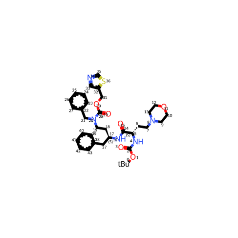 CC(C)(C)OC(=O)N[C@@H](CCN1CCOCC1)C(=O)N[C@H](CCN(Cc1ccccc1)C(=O)OCc1cncs1)Cc1ccccc1